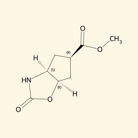 COC(=O)[C@@H]1C[C@@H]2NC(=O)O[C@@H]2C1